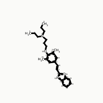 CCCN(CCC)CCCOc1c(C)cc(/C=C/c2nc3ccccc3o2)cc1C